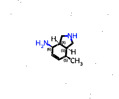 C[C@H]1C=C[C@@H](N)[C@H]2CNC[C@H]21